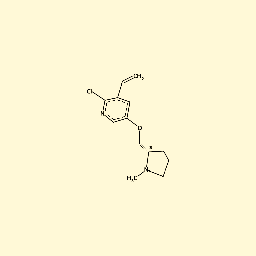 C=Cc1cc(OC[C@@H]2CCCN2C)cnc1Cl